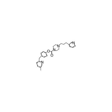 Cc1ccc(Cc2ccc(OC(=O)N3CCN(CCCc4cccnc4)CC3)cc2)nc1